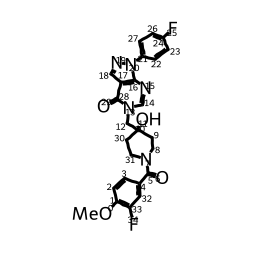 COc1ccc(C(=O)N2CCC(O)(Cn3cnc4c(cnn4-c4ccc(F)cc4)c3=O)CC2)cc1F